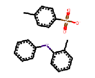 Cc1ccc(S(=O)(=O)[O-])cc1.Cc1ccccc1[I+]c1ccccc1